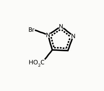 O=C(O)c1cnnn1Br